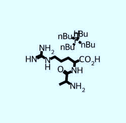 CC(N)C(=O)NC(CCCNC(=N)N)C(=O)O.CCCC[PH](CCCC)(CCCC)CCCC